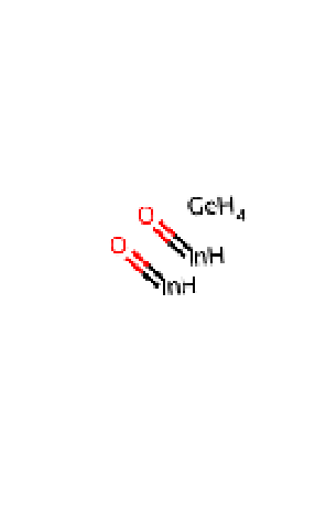 [GeH4].[O]=[InH].[O]=[InH]